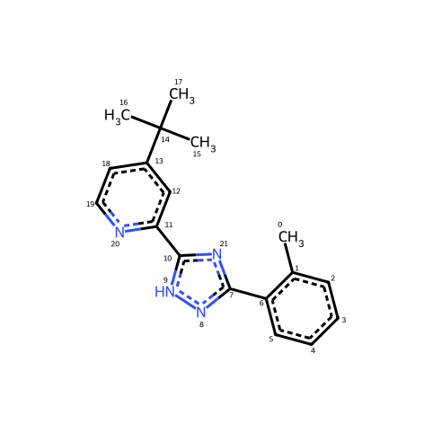 Cc1ccccc1-c1n[nH]c(-c2cc(C(C)(C)C)ccn2)n1